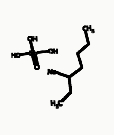 CCCC[CH]([Na])CC.[O]=[Sb]([OH])([OH])[OH]